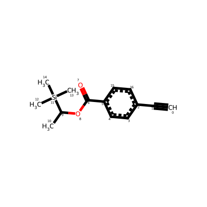 C#Cc1ccc(C(=O)OC(C)[Si](C)(C)C)cc1